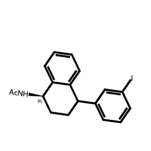 CC(=O)N[C@@H]1CCC(c2cccc(I)c2)c2ccccc21